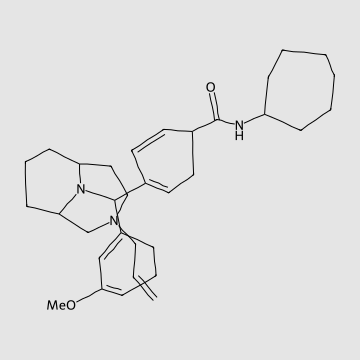 C=CCN1CCC2CCCC(C1)N2C(C1=CCC(C(=O)NC2CCCCCC2)C=C1)C1=CC(OC)=CCC1